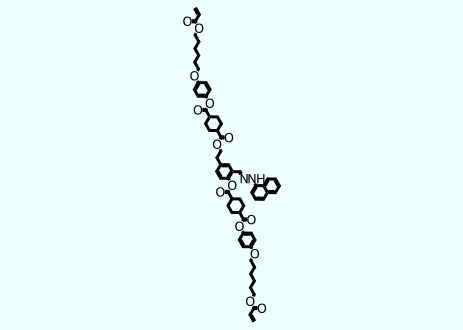 C=CC(=O)OCCCCCCOc1ccc(OC(=O)C2CCC(C(=O)OCCc3ccc(OC(=O)C4CCC(C(=O)Oc5ccc(OCCCCCCOC(=O)C=C)cc5)CC4)c(/C=N/Nc4cccc5ccccc45)c3)CC2)cc1